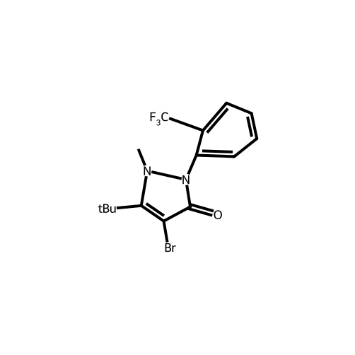 Cn1c(C(C)(C)C)c(Br)c(=O)n1-c1ccccc1C(F)(F)F